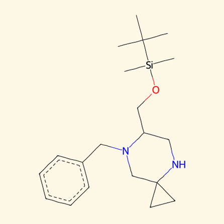 CC(C)(C)[Si](C)(C)OCC1CNC2(CC2)CN1Cc1ccccc1